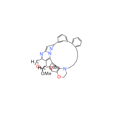 COC(=O)[C@@H](OC(C)(C)C)c1c(C)nc2cc3nn2c1-c1cc2c(cc1C)OCCN2CCCCCc1ccccc1-c1cccc-3c1